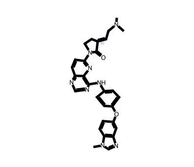 CN(C)C/C=C1\CCN(c2ccc3ncnc(Nc4ccc(Oc5ccc6c(c5)ncn6C)cc4)c3n2)C1=O